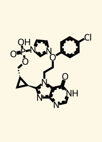 O=c1[nH]cnc2nc([C@H]3C[C@@H]3COP(=O)(O)n3ccnc3)n(CCOc3ccc(Cl)cc3)c12